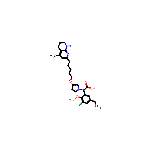 CCc1cc(F)c(OC)c([C@H](C(=O)O)N2CC[C@@H](OCCCCCc3cc(C)c4c(n3)NCCC4)C2)c1